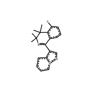 CC1(C)N=C(c2cnn3ccccc23)c2cccc(F)c2C1(C)C